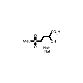 COS(=O)(=O)CCC(O)C(=O)O.[NaH].[NaH]